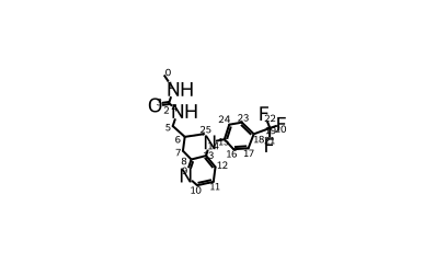 CNC(=O)NCC1Cc2ncccc2N(c2ccc(C(F)(F)F)cc2)C1